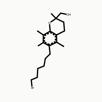 Cc1c(C)c2c(c(C)c1CCCCCCBr)CCC(C)(CO)O2